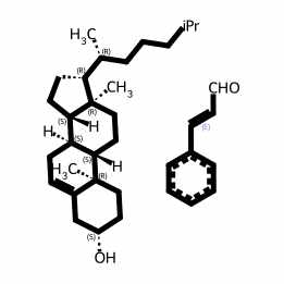 CC(C)CCC[C@@H](C)[C@H]1CC[C@H]2[C@@H]3CC=C4C[C@@H](O)CC[C@]4(C)[C@H]3CC[C@]12C.O=C/C=C/c1ccccc1